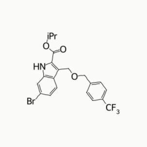 CC(C)OC(=O)c1[nH]c2cc(Br)ccc2c1COCc1ccc(C(F)(F)F)cc1